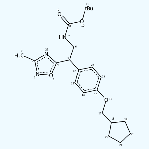 Cc1noc(C(CNC(=O)OC(C)(C)C)c2ccc(OCC3CCCC3)cc2)n1